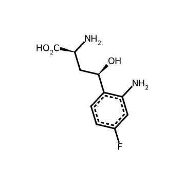 Nc1cc(F)ccc1[C@H](O)C[C@H](N)C(=O)O